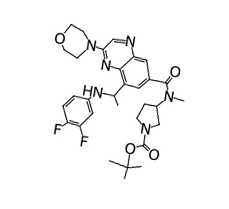 CC(Nc1ccc(F)c(F)c1)c1cc(C(=O)N(C)C2CCN(C(=O)OC(C)(C)C)C2)cc2ncc(N3CCOCC3)nc12